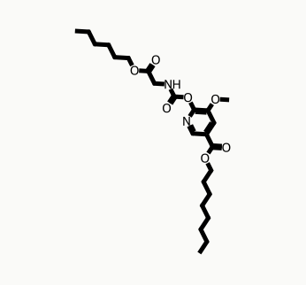 CCCCCCCCOC(=O)c1cnc(OC(=O)NCC(=O)OCCCCCC)c(OC)c1